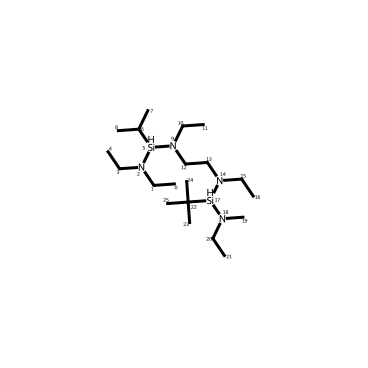 CCN(CC)[SiH](C(C)C)N(CC)CCN(CC)[SiH](N(C)CC)C(C)(C)C